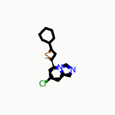 Clc1cc([C@@H]2CC(C3CCCCC3)S2)n2cncc2c1